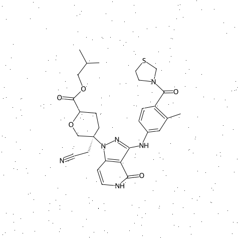 Cc1cc(Nc2nn([C@]3(CC#N)CCC(C(=O)OCC(C)C)OC3)c3cc[nH]c(=O)c23)ccc1C(=O)N1CCSC1